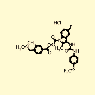 Cc1c(NC(=O)Nc2ccc(SC(F)(F)F)cc2)c2cc(F)ccc2n1C(=O)OOC(=O)c1ccc(CN(C)C)cc1.Cl